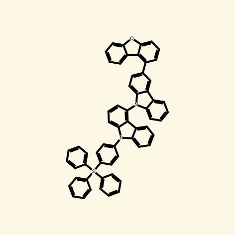 c1ccc([Si](c2ccccc2)(c2ccccc2)c2ccc(-n3c4ccccc4c4c(-n5c6ccccc6c6cc(-c7cccc8oc9ccccc9c78)ccc65)cccc43)cc2)cc1